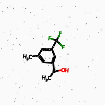 CB(O)c1cc(C)cc(C(F)(F)F)c1